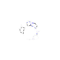 Cc1ccc2cc1-c1cnn3ccc(nc13)N(C)[C@@H]1CCN(CCO2)C1